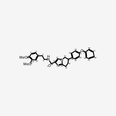 COc1ccc(CCNC(=O)c2cn3c(n2)CCC(c2ccc(Oc4ccccc4)cc2)C3)cc1OC